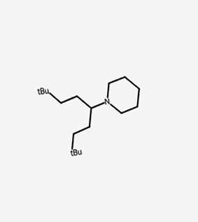 CC(C)(C)CCC(CCC(C)(C)C)N1CCCCC1